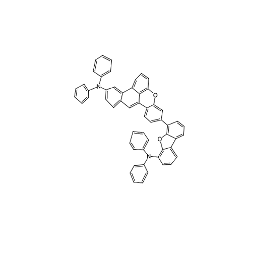 c1ccc(N(c2ccccc2)c2ccc3cc4c5c(cccc5c3c2)Oc2cc(-c3cccc5c3oc3c(N(c6ccccc6)c6ccccc6)cccc35)ccc2-4)cc1